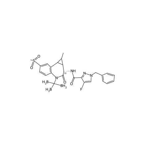 BC(B)(B)N1C(=O)[C@@H](NC(=O)c2nn(Cc3ccccc3)cc2F)C2C(C)C2c2cc(S(C)(=O)=O)ccc21